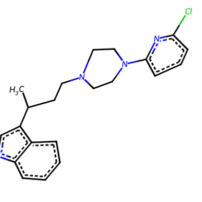 CC(CCN1CCN(c2cccc(Cl)n2)CC1)c1c[nH]c2ccccc12